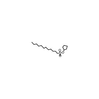 CCCCCCCCCCCCS(=O)(=O)OC1CCCC1